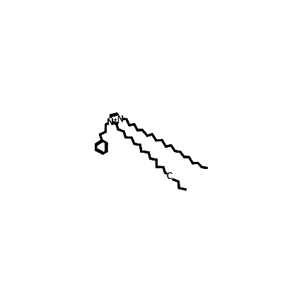 CCCCCCCCCCCCCCCCCCCn1cc[n+](CCCc2ccccc2)c1CCCCCCCCCCCCCCCCCC